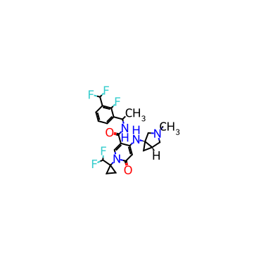 CC(NC(=O)c1cn(C2(C(F)F)CC2)c(=O)cc1N[C@]12C[C@H]1CN(C)C2)c1cccc(C(F)F)c1F